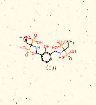 C=CC(NCc1cc(S(=O)(=O)O)cc(CNC(C=C)(P(=O)(O)O)P(=O)(O)O)c1O)(P(=O)(O)O)P(=O)(O)O